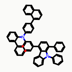 c1ccc(-c2ccccc2N(c2ccc(-c3cccc4ccccc34)cc2)c2cccc(-c3ccc(-c4ccccc4)c4c3c3ccccc3n4-c3ccccc3)c2)cc1